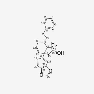 NC1C(CCc2ccccc2)=CC=CC1(CCO)c1ccc2c(c1)OCO2